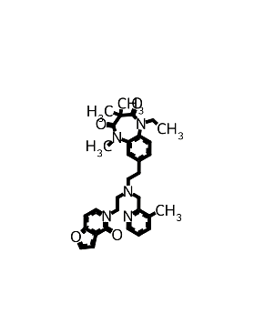 CCN1C(=O)C(C)(C)C(=O)N(C)c2cc(CCN(CCn3ccc4occc4c3=O)Cc3ncccc3C)ccc21